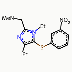 CCn1c(CNC)nc(C(C)C)c1Sc1cccc([N+](=O)[O-])c1